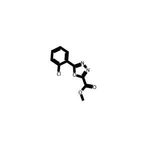 COC(=O)c1nnc(-c2ccccc2Cl)o1